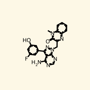 Cn1c(=O)c(Cn2nc(-c3cc(O)cc(F)c3)c3c(N)ncnc32)nc2ccccc21